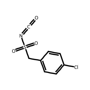 O=C=NS(=O)(=O)Cc1ccc(Cl)cc1